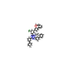 CC1(C)Oc2cc(-c3cc(F)cc(-c4nc(-c5cccc(-c6ccccc6)c5)nc(-c5cccc(-c6ccccc6C#N)c5)n4)c3)ccc2-c2ccccc21